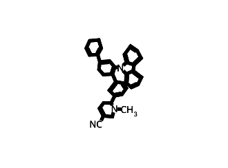 CN1CC(C#N)=CCC1c1cccc(C2=C(n3c4ccccc4c4ccccc43)C=C(C3=CCCC=C3)CC2)c1